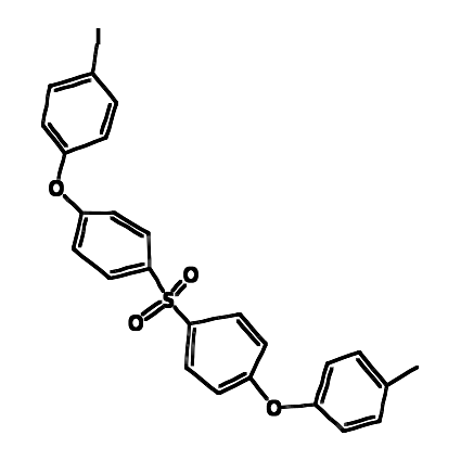 Cc1ccc(Oc2ccc(S(=O)(=O)c3ccc(Oc4ccc(I)cc4)cc3)cc2)cc1